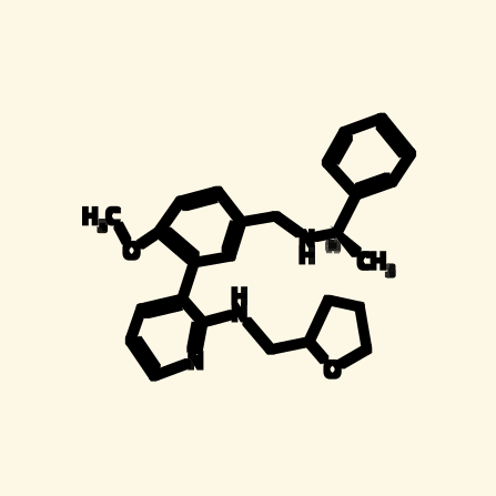 COc1ccc(CN[C@H](C)c2ccccc2)cc1-c1cccnc1NCC1CCCO1